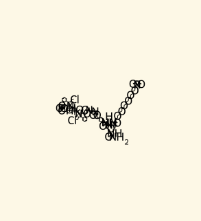 CC(C)C(NC(=O)CCOCCOCCOCCOCCOCCOCCN1C(=O)C=CC1=O)C(=O)N[C@@H](CCCNC(N)=O)C(=O)Nc1ccc(COC(=O)N(C)CCN(C)C(=O)Oc2cc3c(c4ccccc24)C(CCl)CN3C(=O)C23C(C)C2C2(C(=O)N4CC(CCl)c5c4cc(OP(=O)(O)O)c4ccccc54)C(C)C32)cc1